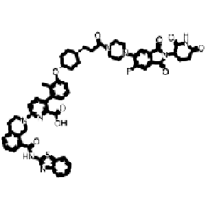 Cc1c(O[C@H]2CC[C@H](CCC(=O)N3CCN(c4cc5c(cc4F)C(=O)N(C4CCC(=O)NC4=O)C5=O)CC3)CC2)cccc1-c1ccc(N2CCc3cccc(C(=O)Nc4nc5ccccc5s4)c3C2)nc1C(=O)O